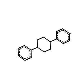 [c]1ccc(C2CCC(c3cc[c]cc3)CC2)cc1